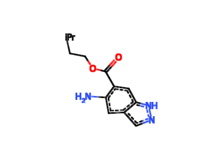 CC(C)CCOC(=O)c1cc2[nH]ncc2cc1N